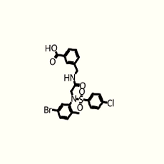 Cc1ccc(Br)cc1N(CC(=O)NCc1cccc(C(=O)O)c1)S(=O)(=O)c1ccc(Cl)cc1